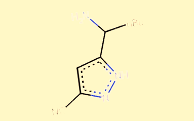 CCCCC(N)c1[c]c(C#N)n[nH]1